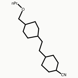 CCCOCC1CCC(CCC2CCC(C#N)CC2)CC1